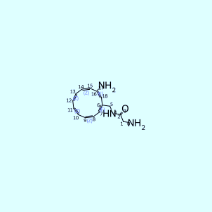 NCC(=O)NCC1=C/C=C\C=C/C=C\C=C/C(N)=C\1